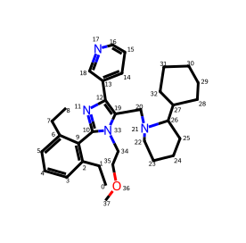 CCc1cccc(CC)c1-c1nc(-c2cccnc2)c(CN2CCCCC2C2CCCCC2)n1CCOC